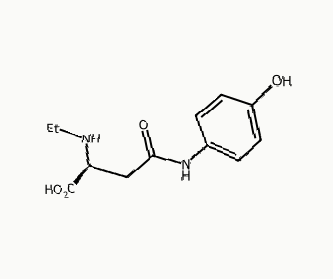 CCN[C@@H](CC(=O)Nc1ccc(O)cc1)C(=O)O